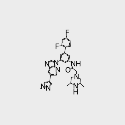 CC1CN(CC(=O)Nc2cc(-c3ccc(F)cc3F)cc(-n3cnc4cc(-c5cnn(C)c5)cnc43)c2)CC(C)N1